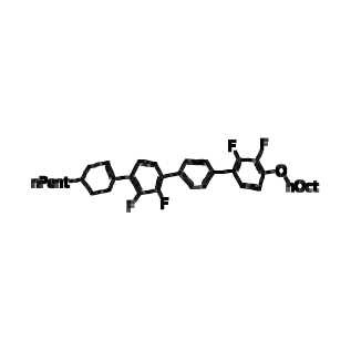 CCCCCCCCOc1ccc(-c2ccc(-c3ccc(C4=CCC(CCCCC)CC4)c(F)c3F)cc2)c(F)c1F